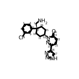 NC[C@]1(c2cccc(Cl)c2)CC[C@H](n2nc(-c3c[nH]nn3)ccc2=O)CC1